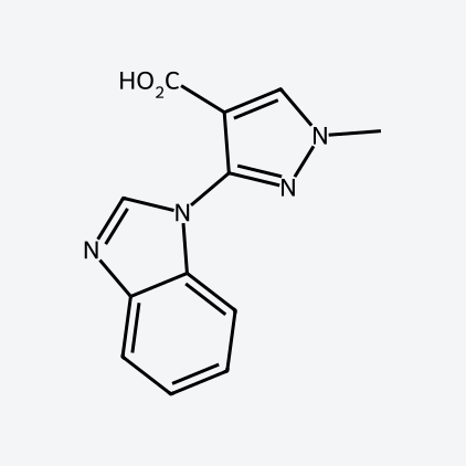 Cn1cc(C(=O)O)c(-n2cnc3ccccc32)n1